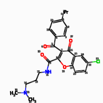 CC(C)c1ccc(C(=O)c2c(C(=O)NCCCN(C)C)oc3ccc(Cl)cc3c2=O)cc1